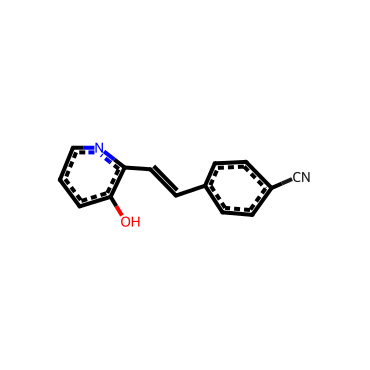 N#Cc1ccc(C=Cc2ncccc2O)cc1